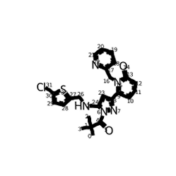 CC(C)(C)C(=O)n1nc(-c2cccc(=O)n2Cc2ccccn2)cc1NCc1ccc(Cl)s1